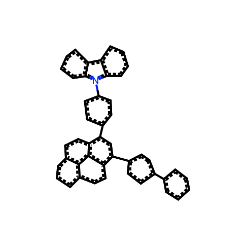 c1ccc(-c2ccc(-c3cc(-c4ccc(-n5c6ccccc6c6ccccc65)cc4)c4ccc5cccc6ccc3c4c65)cc2)cc1